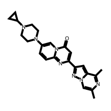 Cc1cn2nc(-c3cc(=O)n4cc(N5CCN(C6CC6)CC5)ccc4n3)cc2c(C)n1